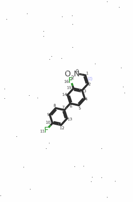 O=[N+]([O-])/C=C\c1ccc(-c2ccc(F)cc2)cc1F